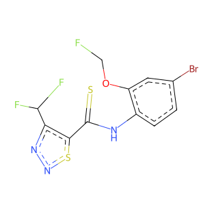 FCOc1cc(Br)ccc1NC(=S)c1snnc1C(F)F